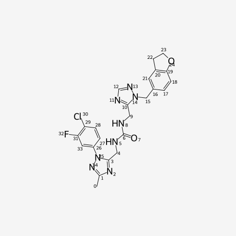 Cc1nc(CNC(=O)NCc2ncnn2Cc2ccc3c(c2)CCO3)n(-c2ccc(Cl)c(F)c2)n1